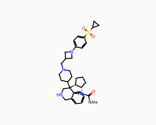 CNC(=O)N[C@H]1CCC[C@@H]1C1(C2CCN(CC3CN(c4ccc(S(=O)(=O)C5CC5)cc4)C3)CC2)CNCc2ccccc21